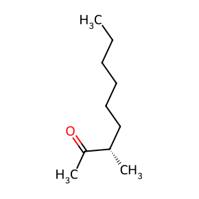 CCCCCC[C@H](C)C(C)=O